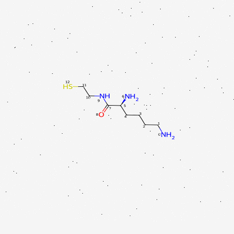 NCCCC[C@H](N)C(=O)NCCS